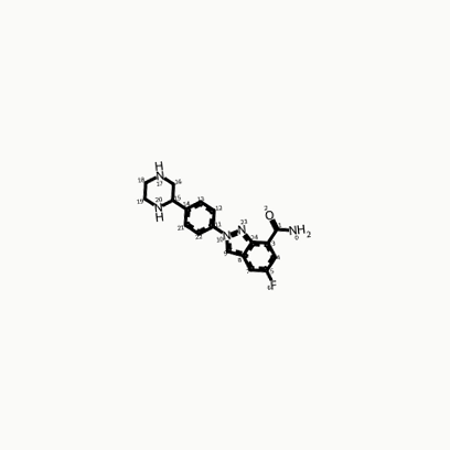 NC(=O)c1cc(F)cc2cn(-c3ccc(C4CNCCN4)cc3)nc12